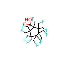 O=C(O)C1(CF)C(CF)(CF)C(CF)(CF)C(CF)(CF)C(CF)(CF)C1(CF)CF